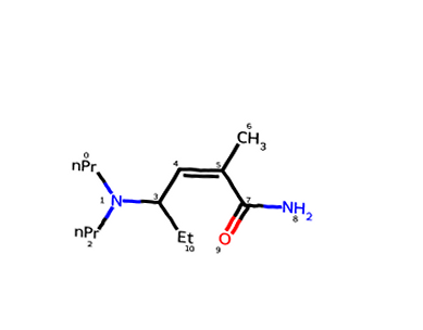 CCCN(CCC)C(C=C(C)C(N)=O)CC